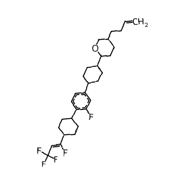 C=CCCC1CCC(C2CCC(c3ccc(C4CCC(/C(F)=C/C(F)(F)F)CC4)c(F)c3)CC2)OC1